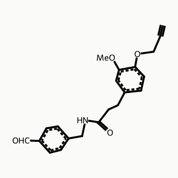 C#CCOc1ccc(CCC(=O)NCc2ccc(C=O)cc2)cc1OC